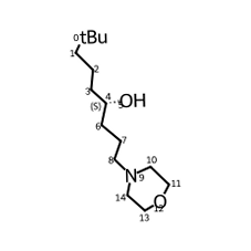 CC(C)(C)CCC[C@H](O)CCCN1CCOCC1